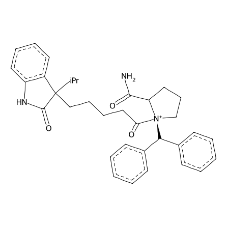 CC(C)C1(CCCCC(=O)[N@@+]2(C(c3ccccc3)c3ccccc3)CCCC2C(N)=O)C(=O)Nc2ccccc21